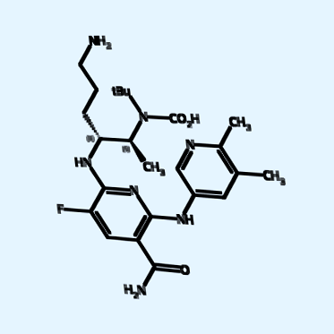 Cc1cc(Nc2nc(N[C@H](CCCN)[C@H](C)N(C(=O)O)C(C)(C)C)c(F)cc2C(N)=O)cnc1C